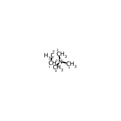 CC.CN(C)C